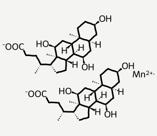 C[C@H](CCC(=O)[O-])[C@H]1CC[C@H]2[C@@H]3[C@H](O)C[C@@H]4C[C@H](O)CC[C@]4(C)[C@H]3C[C@H](O)[C@]12C.C[C@H](CCC(=O)[O-])[C@H]1CC[C@H]2[C@@H]3[C@H](O)C[C@@H]4C[C@H](O)CC[C@]4(C)[C@H]3C[C@H](O)[C@]12C.[Mn+2]